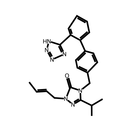 C/C=C/Cn1nc(C(C)C)n(Cc2ccc(-c3ccccc3-c3nnn[nH]3)cc2)c1=O